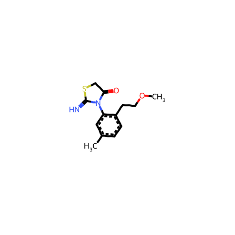 COCCc1ccc(C)cc1N1C(=N)SCC1=O